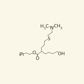 CC(C)CCOC(=O)C(CCCCO)CCCSCCN(C)C